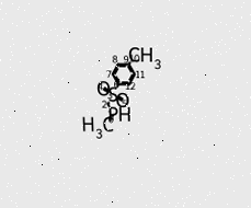 CPCS(=O)(=O)c1ccc(C)cc1